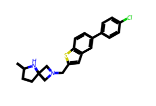 CC1CCC2(CN(Cc3cc4cc(-c5ccc(Cl)cc5)ccc4s3)C2)N1